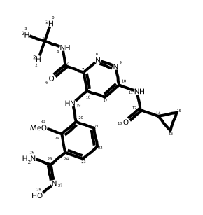 [2H]C([2H])([2H])NC(=O)c1nnc(NC(=O)C2CC2)cc1Nc1cccc(/C(N)=N/O)c1OC